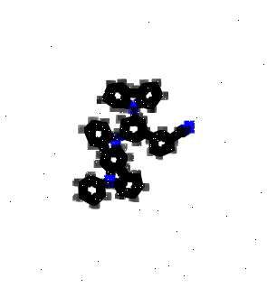 N#Cc1cccc(-c2cc(-n3c4ccccc4c4ccccc43)cc(-n3c4ccccc4c4cc5c(cc43)c3ccccc3n5-c3ccccc3)c2)c1